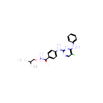 CC(C)CONC(=O)c1ccc(Nc2ncc(Cl)c(Nc3ccccc3)n2)cc1